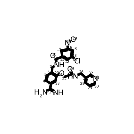 N=C(N)c1ccc(CNC(=O)c2cc(Cl)cc(N=O)c2)c(OCC(=O)NCc2cccnc2)c1